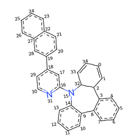 C1=CC2c3ccccc3-c3ccccc3N(c3cc(-c4ccc5ccccc5c4)ccn3)C2C=C1